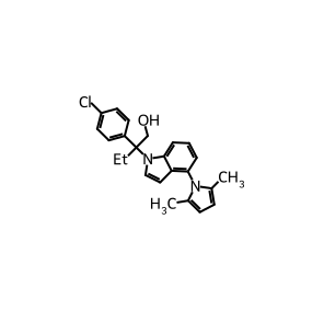 CCC(CO)(c1ccc(Cl)cc1)n1ccc2c(-n3c(C)ccc3C)cccc21